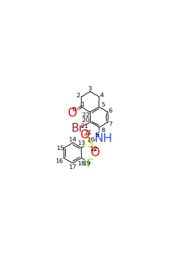 O=C1CCCc2ccc(NS(=O)(=O)c3ccccc3F)c(Br)c21